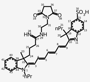 CCCN1/C(=C/C=C/C=C/C=C/C2=Nc3ccc(S(=O)(=O)O)cc3C2(C)CCC)C(C)(CCCC(=N)NCCN2C(=O)CCC2=O)c2ccccc21